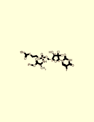 CC(C)OC(=O)[C@H](C)NP(=O)(OCCSC(=O)C(C)(C)C)OC[C@H]1O[C@@H](n2cc(F)c(=O)[nH]c2=O)C(Cl)(Cl)[C@@H]1O